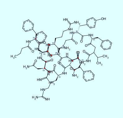 CCCC(=O)N[C@@H](Cc1ccccc1)C(=O)N[C@@H](CCCNC(=N)N)C(=O)N[C@@H](CSCC(=O)N[C@H](Cc1ccc(O)cc1)C(=O)N[C@@H](Cc1ccccc1)C(=O)CC(C(=O)N[C@@H](CC(N)=O)C(=O)NC(CCc1ccccc1)C(=O)N[C@@H](CCCNC(=N)N)C(=O)N[C@@H](CC(N)=O)C(=O)N[C@@H](Cc1ccccc1)C(=O)N[C@@H](CCCNC(=N)N)C(N)=O)C(C)C)C(=O)NCC(N)=O